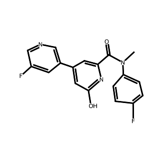 CN(C(=O)c1cc(-c2cncc(F)c2)cc(O)n1)c1ccc(F)cc1